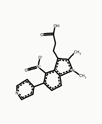 Cc1c(CCC(=O)O)c2c([N+](=O)[O-])c(-c3ccncc3)ccc2n1C